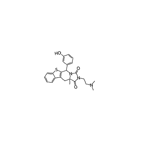 CN(C)CCN1C(=O)N2C(c3cccc(O)c3)c3sc4ccccc4c3CC2(C)C1=O